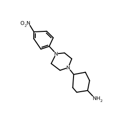 NC1CCC(N2CCN(c3ccc([N+](=O)[O-])cc3)CC2)CC1